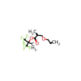 C=CCOCC(=C)C(=O)OC(C)(C(F)(F)F)C(F)(F)F